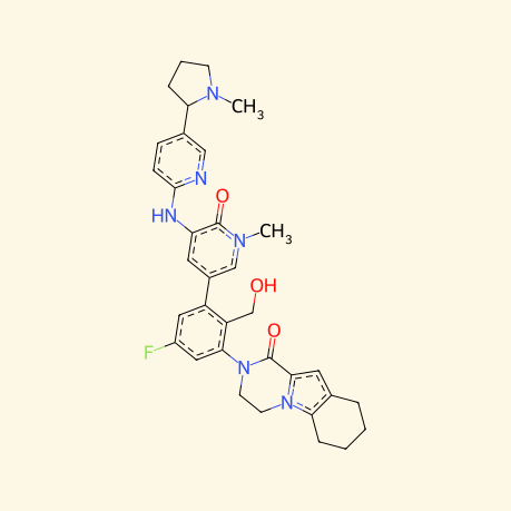 CN1CCCC1c1ccc(Nc2cc(-c3cc(F)cc(N4CCn5c(cc6c5CCCC6)C4=O)c3CO)cn(C)c2=O)nc1